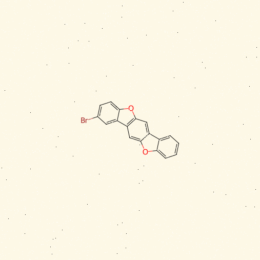 Brc1ccc2oc3cc4c(cc3c2c1)oc1ccccc14